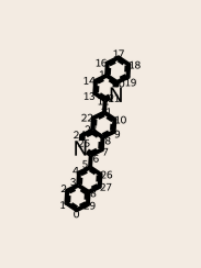 c1ccc2cc(-c3cc4ccc(-c5ccc6ccccc6n5)cc4cn3)ccc2c1